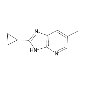 Cc1cnc2[nH]c(C3CC3)nc2c1